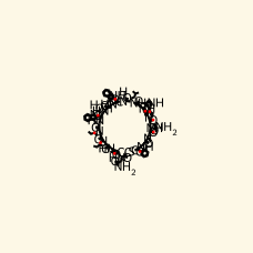 CCCC[C@H]1C(=O)N(C)[C@@H](CCCC)C(=O)NC2(CC2)C(=O)C[C@H](C(=O)NCC(N)=O)CSCC(=O)N[C@@H](Cc2ccccc2)C(=O)N(C)[C@@H](C)C(=O)N[C@@H](CC(N)=O)C(=O)N2CCC[C@H]2C(=O)N[C@@H](Cc2c[nH]cn2)C(=O)N[C@@H](CCC(C)C)C(=O)NCC(=O)N[C@@H](Cc2c[nH]c3ccccc23)C(=O)N[C@@H](CO)C(=O)N[C@@H](Cc2c[nH]c3ccccc23)C(=O)N1C